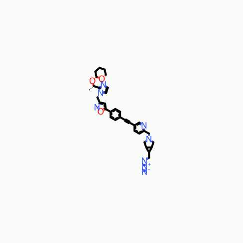 C[C@H](OC1CCCCO1)c1nccn1Cc1cc(-c2ccc(C#Cc3ccc(CN4CC5C(CN=[N+]=[N-])C5C4)nc3)cc2)on1